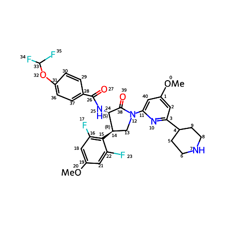 COc1cc(C2CCNCC2)nc(N2C[C@@H](c3c(F)cc(OC)cc3F)[C@H](NC(=O)c3ccc(OC(F)F)cc3)C2=O)c1